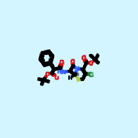 CC(C)(C)OC(=O)C1=C(Cl)CS[C@@H]2C(NC(=O)C(C(=O)OC(C)(C)C)c3ccccc3)C(=O)N12